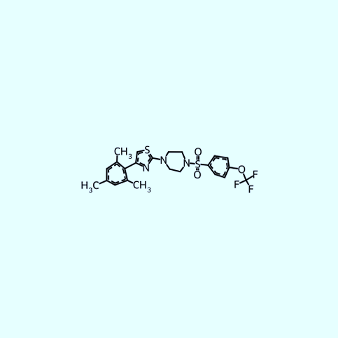 Cc1cc(C)c(-c2csc(N3CCN(S(=O)(=O)c4ccc(OC(F)(F)F)cc4)CC3)n2)c(C)c1